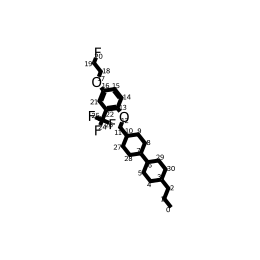 CCCC1CCC(C2CCC(COc3ccc(OCCF)cc3C(F)(F)F)CC2)CC1